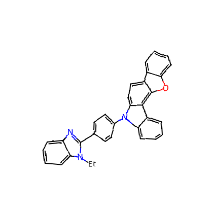 CCn1c(-c2ccc(-n3c4ccccc4c4c5oc6ccccc6c5ccc43)cc2)nc2ccccc21